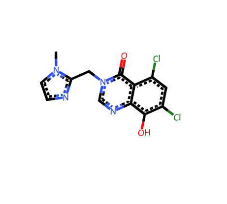 Cn1ccnc1Cn1cnc2c(O)c(Cl)cc(Cl)c2c1=O